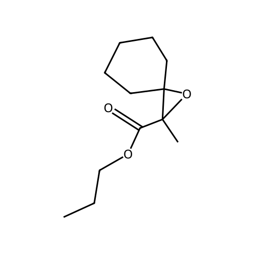 CCCOC(=O)C1(C)OC12CCCCC2